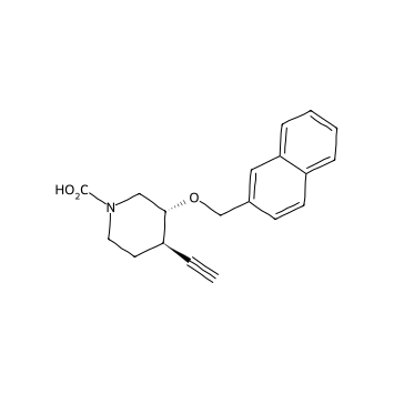 C#C[C@H]1CCN(C(=O)O)C[C@@H]1OCc1ccc2ccccc2c1